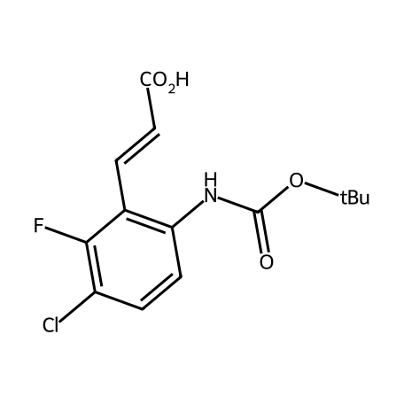 CC(C)(C)OC(=O)Nc1ccc(Cl)c(F)c1/C=C/C(=O)O